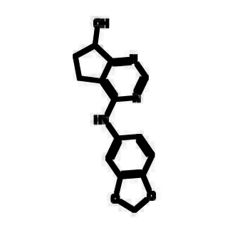 OC1CCc2c(Nc3ccc4c(c3)OCO4)ncnc21